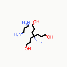 NC(CCCO)(CCCO)CCCO.NCCCN